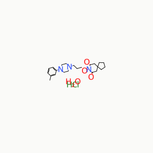 Cc1cccc(N2CCN(CCCON3C(=O)CC4(CCCC4)CC3=O)CC2)c1.Cl.O